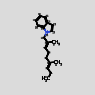 CC/C=C(\C)CC/C=C(\C)Cn1ccc2ccccc21